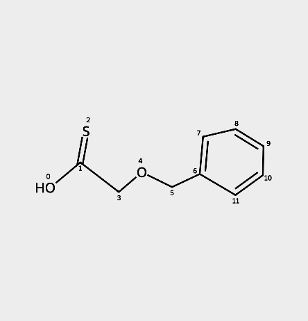 OC(=S)COCc1ccccc1